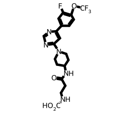 O=C(O)NCCC(=O)NC1CCN(c2cc(-c3ccc(OC(F)(F)F)c(F)c3)ncn2)CC1